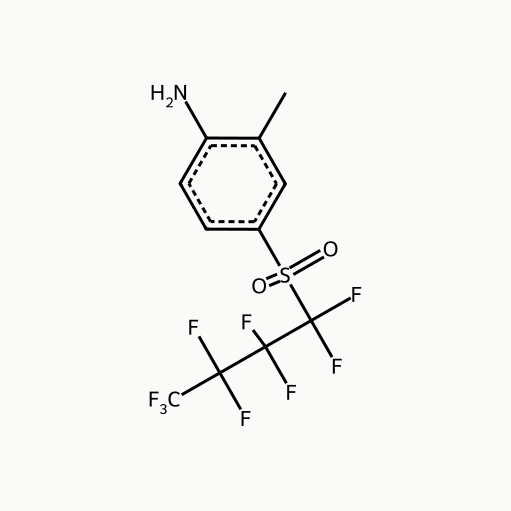 Cc1cc(S(=O)(=O)C(F)(F)C(F)(F)C(F)(F)C(F)(F)F)ccc1N